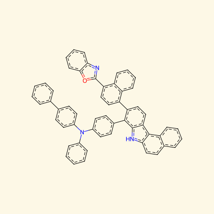 c1ccc(-c2ccc(N(c3ccccc3)c3ccc(-c4c(-c5ccc(-c6nc7ccccc7o6)c6ccccc56)ccc5c4[nH]c4ccc6ccccc6c45)cc3)cc2)cc1